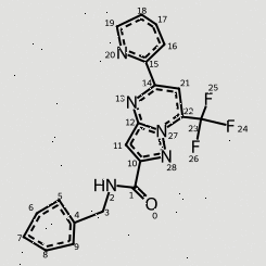 O=C(NCc1ccccc1)c1cc2nc(-c3ccccn3)cc(C(F)(F)F)n2n1